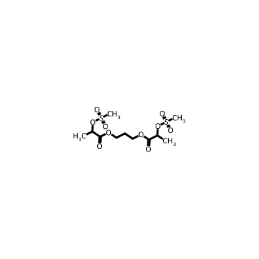 CC(OS(C)(=O)=O)C(=O)OCCCOC(=O)C(C)OS(C)(=O)=O